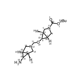 CC(C)(C)OC(=O)N1C[C@@H]2[C@H](C1)[C@H]2OCN1C[C@@H]2[C@@H](N)[C@@H]2C1